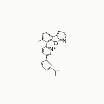 Cc1ccc2c(oc3ncccc32)c1-c1ccc(-c2cccc(C(C)C)c2)c[n+]1C